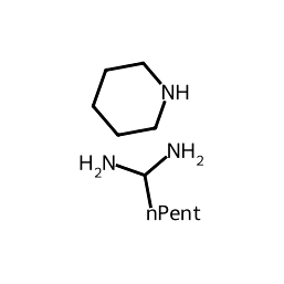 C1CCNCC1.CCCCCC(N)N